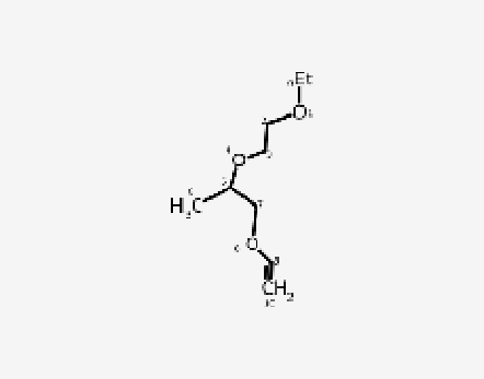 [CH2]COCCOC(C)COC=C